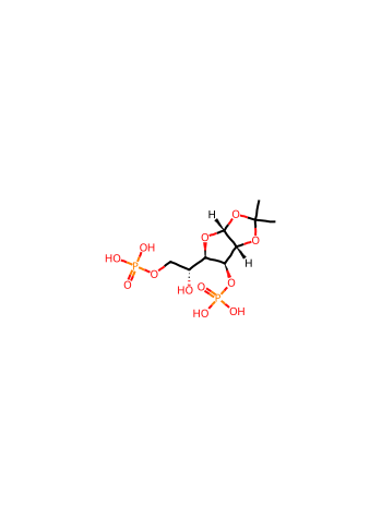 CC1(C)O[C@H]2O[C@H]([C@H](O)COP(=O)(O)O)[C@H](OP(=O)(O)O)[C@H]2O1